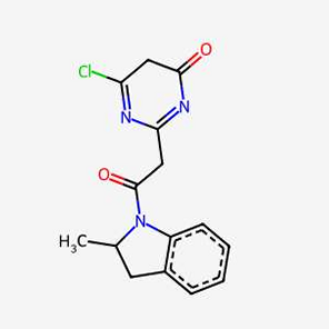 CC1Cc2ccccc2N1C(=O)CC1=NC(=O)CC(Cl)=N1